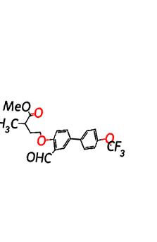 COC(=O)C(C)CCOc1ccc(-c2ccc(OC(F)(F)F)cc2)cc1C=O